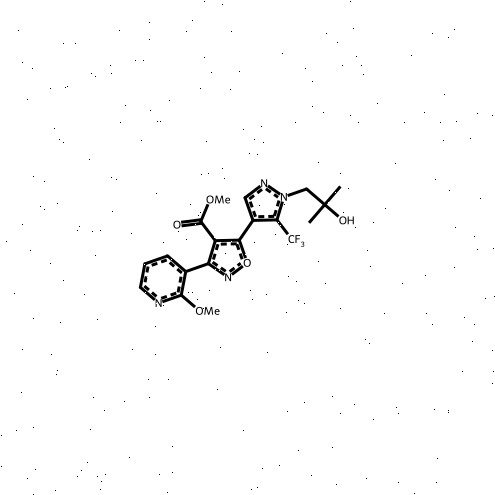 COC(=O)c1c(-c2cccnc2OC)noc1-c1cnn(CC(C)(C)O)c1C(F)(F)F